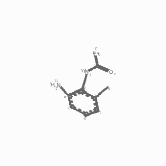 CCC(=O)Nc1c(C)cccc1N